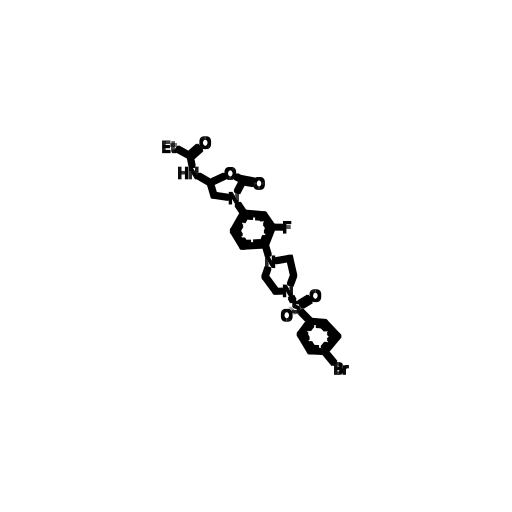 CCC(=O)NC1CN(c2ccc(N3CCN(S(=O)(=O)c4ccc(Br)cc4)CC3)c(F)c2)C(=O)O1